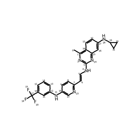 Cc1nc(N/C=C/c2ccc(Nc3cccc(C(F)(F)F)c3)cn2)nc2cc(NC3CC3)ccc12